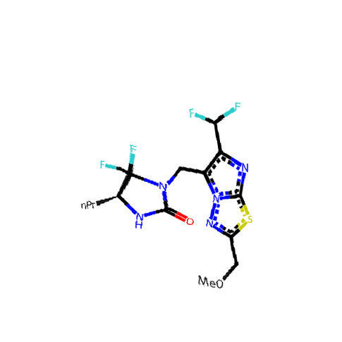 CCC[C@@H]1NC(=O)N(Cc2c(C(F)F)nc3sc(COC)nn23)C1(F)F